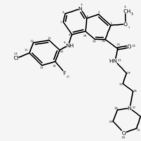 COc1cc2nccc(Nc3ccc(Cl)cc3F)c2cc1C(=O)NCCCN1CCOCC1